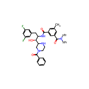 CCCN(CCC)C(=O)c1cc(C)cc(C(=O)NC(Cc2cc(F)cc(F)c2)[C@H](O)C2CN(C(=O)c3ccccc3)CCN2)c1